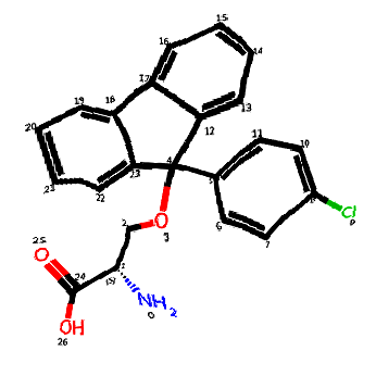 N[C@@H](COC1(c2ccc(Cl)cc2)c2ccccc2-c2ccccc21)C(=O)O